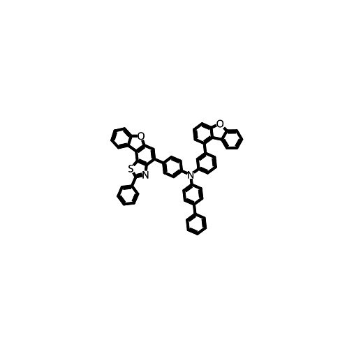 c1ccc(-c2ccc(N(c3ccc(-c4cc5oc6ccccc6c5c5sc(-c6ccccc6)nc45)cc3)c3cccc(-c4cccc5oc6ccccc6c45)c3)cc2)cc1